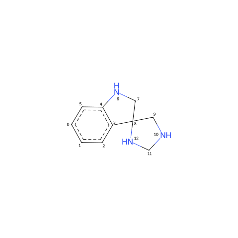 c1ccc2c(c1)NCC21CNCN1